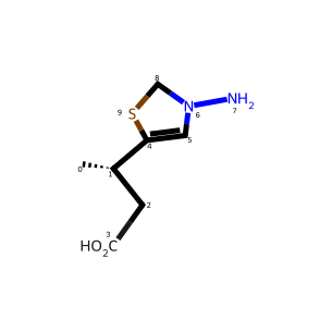 C[C@@H](CC(=O)O)C1=CN(N)CS1